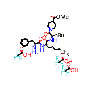 CCCCC(NC(=O)[C@@H](CCCCC(F)(F)F)NC(=O)[C@H](N)Cc1ccccc1)C(=O)N1CCC(C(=O)OC)CC1.O=C(O)C(F)(F)F.O=C(O)C(F)(F)F.O=C(O)C(F)(F)F